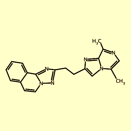 Cc1ncc(C)n2cc(CCc3nc4c5ccccc5ccn4n3)nc12